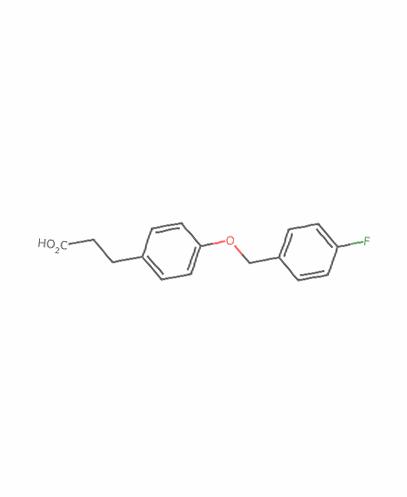 O=C(O)CCc1ccc(OCc2ccc(F)cc2)cc1